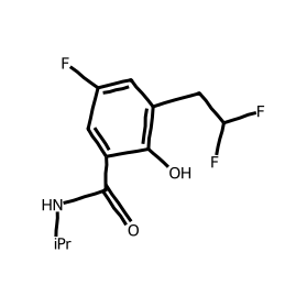 CC(C)NC(=O)c1cc(F)cc(CC(F)F)c1O